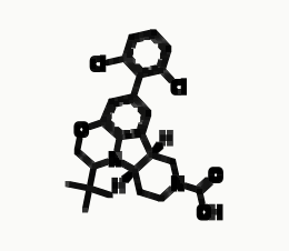 CC(C)(C)C1COc2cc(-c3c(Cl)cccc3Cl)cc3c2N1[C@H]1CCN(C(=O)O)C[C@@H]31